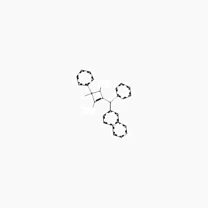 CC1(c2ccccc2)C(O)=C(C(c2ccccc2)c2ccc3ccccc3c2)C1O